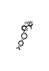 Cc1cn[nH]c1-c1cccc(N2CCCN(C3CCN(C(C)C)CC3)CC2)n1